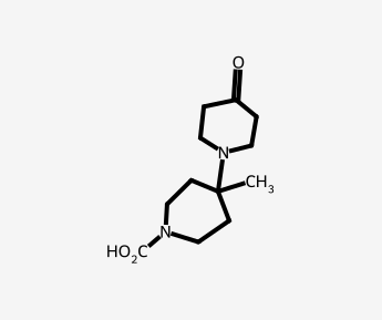 CC1(N2CCC(=O)CC2)CCN(C(=O)O)CC1